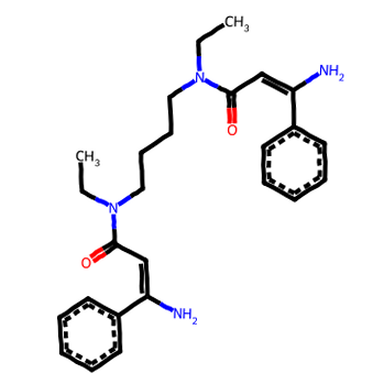 CCN(CCCCN(CC)C(=O)/C=C(/N)c1ccccc1)C(=O)/C=C(/N)c1ccccc1